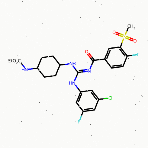 CCOC(=O)NC1CCC(N/C(=N\C(=O)c2ccc(F)c(S(C)(=O)=O)c2)Nc2cc(F)cc(Cl)c2)CC1